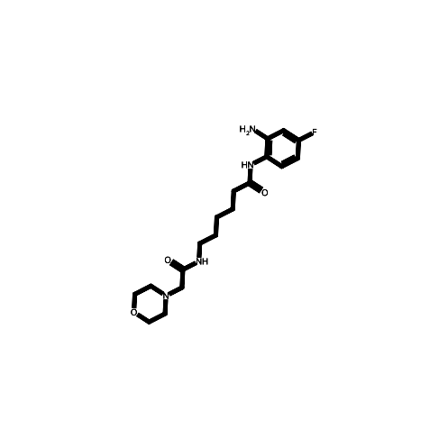 Nc1cc(F)ccc1NC(=O)CCCCCNC(=O)CN1CCOCC1